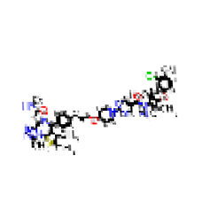 CCNC(=O)C[C@@H]1N=C(c2ccc(CCCOC3CCN(c4ncc(C(=O)NC5C(C)(C)C(Oc6ccc(C#N)c(Cl)c6)C5(C)C)cn4)CC3)cc2)c2c(sc(C)c2C)-n2c(C)nnc21